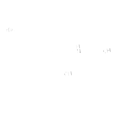 CC(NC(C)c1ccc(C(C)(C)C)cc1)c1ccccc1